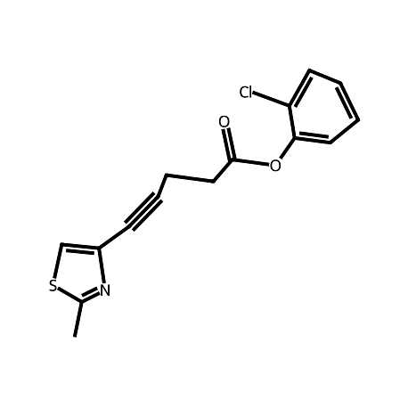 Cc1nc(C#CCCC(=O)Oc2ccccc2Cl)cs1